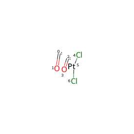 [C]=O.[C]=O.[Cl][Pt][Cl]